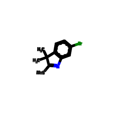 CSC1=Nc2cc(Br)ccc2C1(C)C